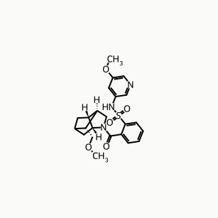 COC[C@@H]1C2C[C@@H]3[C@H]1CN(C(=O)c1ccccc1S(=O)(=O)Nc1cncc(OC)c1)[C@@H]3C2